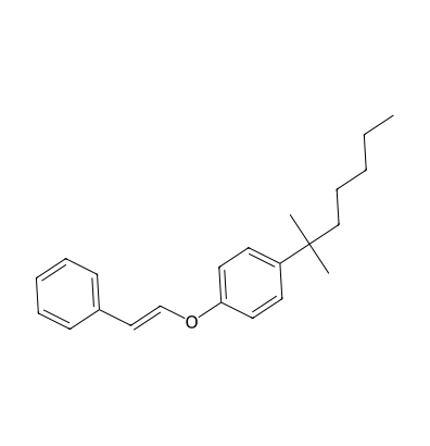 CCCCCC(C)(C)c1ccc(OC=Cc2ccccc2)cc1